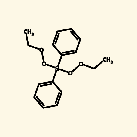 CCOO[Si](OOCC)(c1ccccc1)c1ccccc1